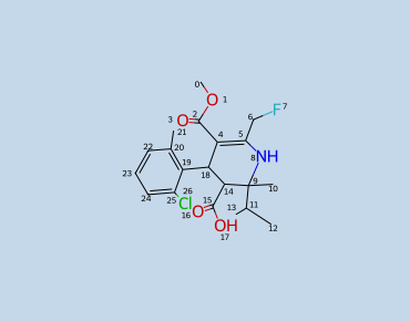 COC(=O)C1=C(CF)NC(C)(C(C)C)C(C(=O)O)C1c1c(C)cccc1Cl